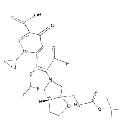 CC(C)(C)OC(=O)NCC12CN(c3c(F)cc4c(=O)c(C(=O)O)cn(C5CC5)c4c3OC(F)F)C[C@H]1CCO2